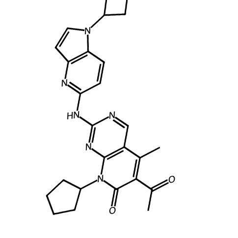 CC(=O)c1c(C)c2cnc(Nc3ccc4c(ccn4C4CNC4)n3)nc2n(C2CCCC2)c1=O